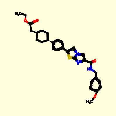 CCOC(=O)C[C@H]1CC[C@H](c2ccc(-c3cn4cc(C(=O)NCc5ccc(OC)cc5)nc4s3)cc2)CC1